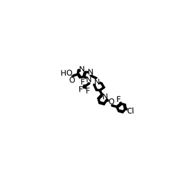 O=C(O)c1cnc2nc(CN3CCC(c4cccc(OCc5ccc(Cl)cc5F)n4)CC3)n(CC(F)(F)F)c2c1